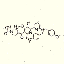 COc1ccc(CN(Cc2ccc(OC)cc2)c2cccc(-c3nc(F)c4c(c3Cl)OC[C@H]3CN(C(=O)O)CCN3C4=O)n2)cc1